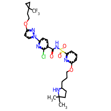 CC1(C)CCC(CCCOc2cccc(S(=O)(=O)NC(=O)c3ccc(-n4ccc(OCCC5(C(F)(F)F)CC5)n4)nc3Cl)n2)N1